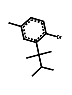 Cc1ccc(Br)c(C(C)(C)C(C)C)c1